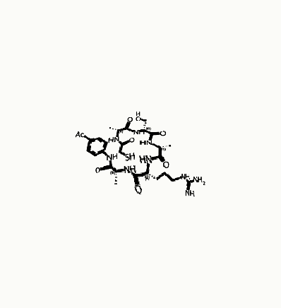 CC(=O)c1ccc(NC(=O)[C@@H](C)NC(=O)[C@@H](CCCNC(=N)N)NC(=O)[C@@H](C)NC(=O)[C@@H](CO)NC(=O)[C@@H](C)NC(=O)CS)cc1